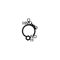 CC12CC(CCCCCCC3CCCC(C3)NC(=O)CCC3OC3(C)C1(C)C)NC(=O)O2